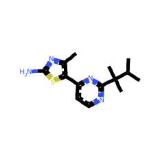 Cc1nc(N)sc1-c1ccnc(C(C)(C)C(C)C)n1